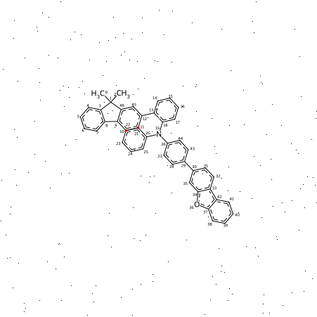 CC1(C)c2ccccc2-c2ccc(-c3ccccc3N(c3ccccc3)c3ccc(-c4ccc5c(c4)oc4ccccc45)cc3)cc21